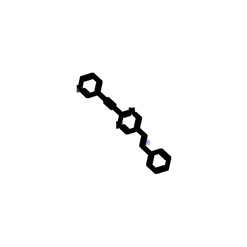 C(#Cc1ncc(/C=C/c2ccccc2)cn1)c1cccnc1